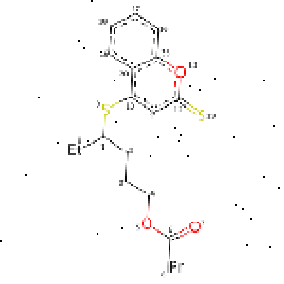 CCC(CCCOC(=O)C(C)C)Sc1cc(=S)oc2ccccc12